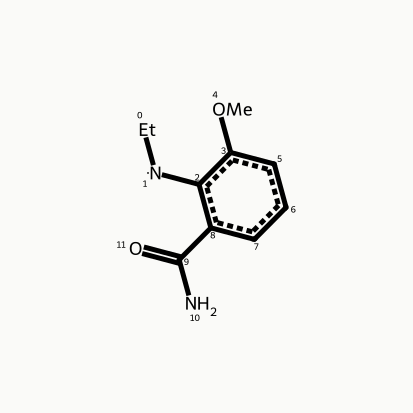 CC[N]c1c(OC)cccc1C(N)=O